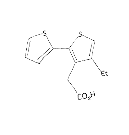 CCc1csc(-c2cccs2)c1CC(=O)O